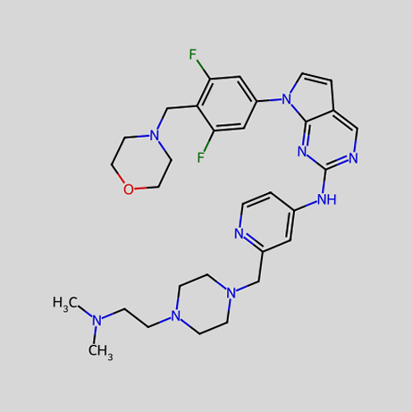 CN(C)CCN1CCN(Cc2cc(Nc3ncc4ccn(-c5cc(F)c(CN6CCOCC6)c(F)c5)c4n3)ccn2)CC1